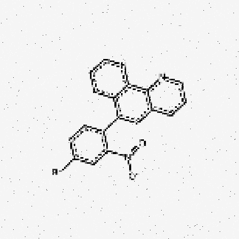 O=[N+]([O-])c1cc(Br)ccc1-c1cc2cccnc2c2ncccc12